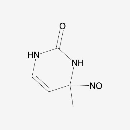 CC1(N=O)C=CNC(=O)N1